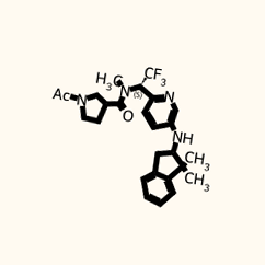 CC(=O)N1CCC(C(=O)N(C)[C@@H](c2ccc(NC3Cc4ccccc4C3(C)C)cn2)C(F)(F)F)C1